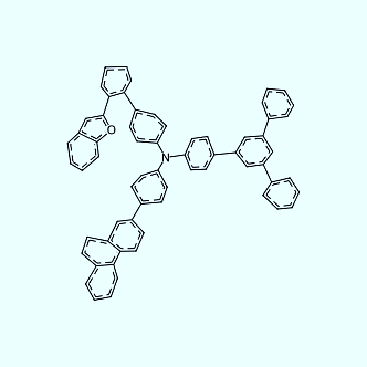 c1ccc(-c2cc(-c3ccccc3)cc(-c3ccc(N(c4ccc(-c5ccc6c(ccc7ccccc76)c5)cc4)c4ccc(-c5ccccc5-c5cc6ccccc6o5)cc4)cc3)c2)cc1